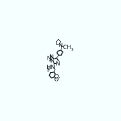 CC(c1ccc(-c2cnc(NCc3c(F)ccc4c3CCO4)n3cnnc23)cc1)N1CCCC1